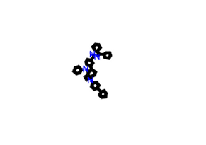 c1ccc(-c2ccc(-n3ccc4c3ccc3c5cc(-c6nc(-c7ccccc7)c7ccccc7n6)ccc5n(-c5ccccc5)c34)cc2)cc1